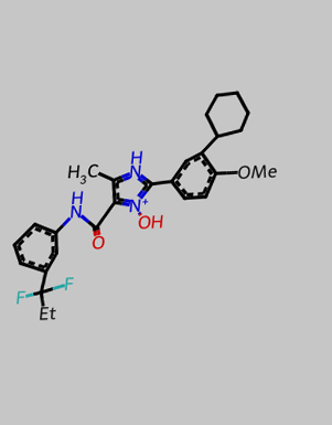 CCC(F)(F)c1cccc(NC(=O)c2c(C)[nH]c(-c3ccc(OC)c(C4CCCCC4)c3)[n+]2O)c1